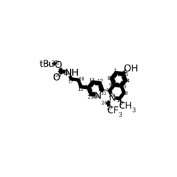 C[C@@H]1Cc2cc(O)ccc2[C@@H](c2ccc(CCCNC(=O)OC(C)(C)C)cn2)N1CC(F)(F)F